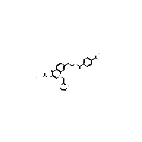 N=C(N)c1ccc(C(=O)NCCc2ccc3c(=O)c(OC(=O)O)cn(Cc4nccs4)c3c2)cc1